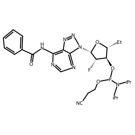 CC[C@H]1O[C@@H](n2nnc3c(NC(=O)c4ccccc4)ncnc32)[C@@H](F)[C@@H]1OP(OCCC#N)N(C(C)C)C(C)C